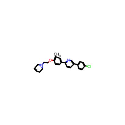 Cc1cc(-c2ccc(-c3ccc(Cl)cc3)cn2)ccc1OCCN1CC=CCC1